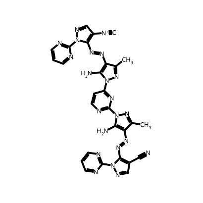 [C-]#[N+]c1cnn(-c2ncccn2)c1N=Nc1c(C)nn(-c2ccnc(-n3nc(C)c(N=Nc4c(C#N)cnn4-c4ncccn4)c3N)n2)c1N